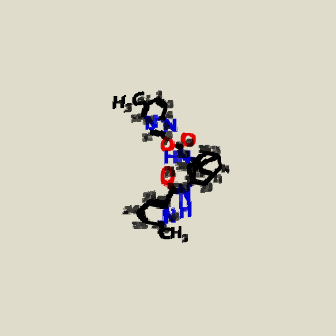 Cc1ccc2nc(OC(=O)NC34CC5CC(C3)CC(NC(=O)c3cccc(C)n3)(C5)C4)cn2c1